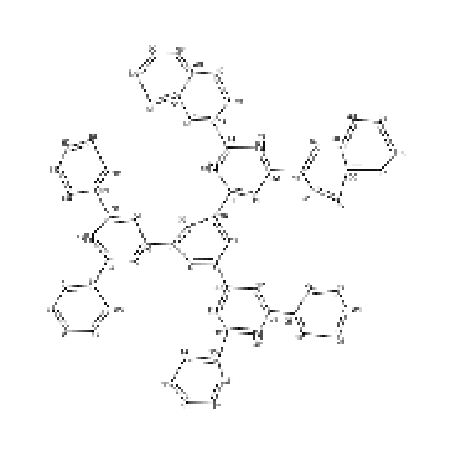 c1ccc(-c2cc(-c3cc(-c4cc(-c5ccccc5)nc(-c5ccccc5)c4)cc(-c4cc(-c5ccc6ccccc6c5)nc(-c5ccc6ccccc6c5)n4)c3)cc(-c3ccccc3)n2)cc1